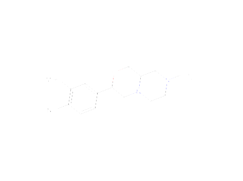 COc1cc(C2CN3CCN(C(=O)O)CC3CO2)ccc1C#N